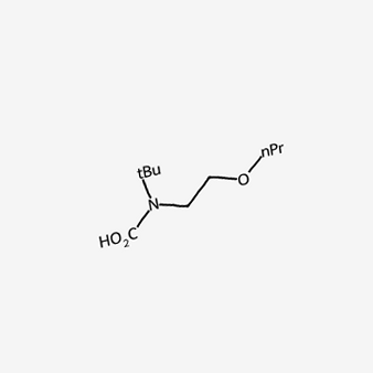 CCCOCCN(C(=O)O)C(C)(C)C